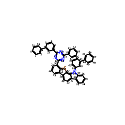 c1ccc(-c2cccc(-c3nc(-c4ccccc4)nc(-c4cccc5c4sc4c5ccc5c6ccccc6n(-c6cccc(-c7ccccc7)c6)c54)n3)c2)cc1